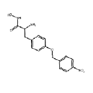 NC(Cc1ccc(OCc2ccc([N+](=O)[O-])cc2)cc1)C(=O)NO